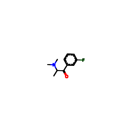 CC(C(=O)c1cccc(F)c1)N(C)C